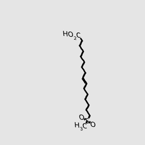 CS(=O)(=O)CCCCCCC=CCCCCCCCC(=O)O